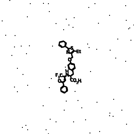 CCc1sc(-c2ccccc2)nc1COc1ccc(C[C@H](NC(=CC(=O)c2ccccc2)C(F)(F)F)C(=O)O)cc1